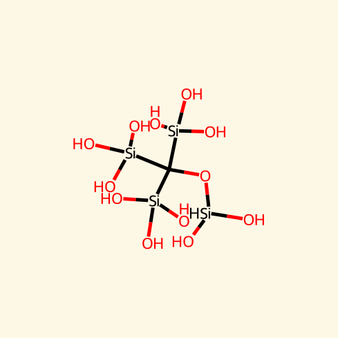 O[SiH](O)OC([Si](O)(O)O)([Si](O)(O)O)[Si](O)(O)O